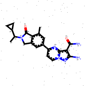 Cc1cc(-c2ccn3nc(N)c(C(N)=O)c3n2)cc2c1C(=O)N(C(C)C1CC1)C2